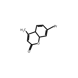 CC1=CC(=O)OC2C=C(C(C)C)C=CC12